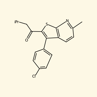 Cc1ccc2c(-c3ccc(Cl)cc3)c(C(=O)CC(C)C)sc2n1